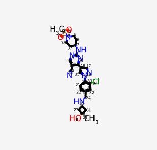 CS(=O)(=O)N1CCC(Nc2ncc(C#N)c(-c3cnn(-c4ccc(CN[C@H]5C[C@](C)(O)C5)cc4Cl)c3)n2)CC1